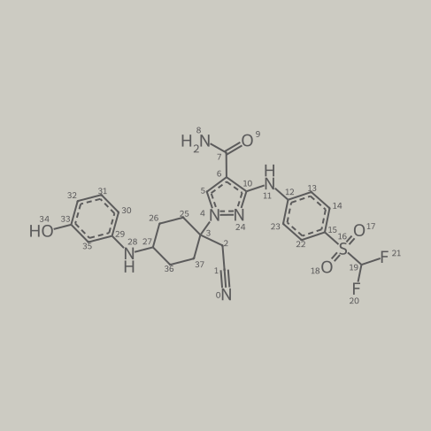 N#CCC1(n2cc(C(N)=O)c(Nc3ccc(S(=O)(=O)C(F)F)cc3)n2)CCC(Nc2cccc(O)c2)CC1